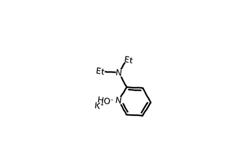 CCN(CC)c1ccccn1.[K+].[OH-]